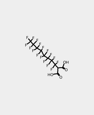 O=C(O)C(C(=O)O)C(F)(F)C(F)(F)C(F)(F)C(F)(F)C(F)(F)C(F)(F)C(F)(F)C(F)(F)F